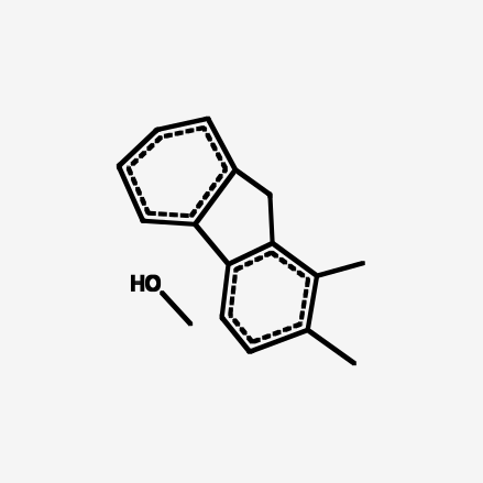 CO.Cc1ccc2c(c1C)Cc1ccccc1-2